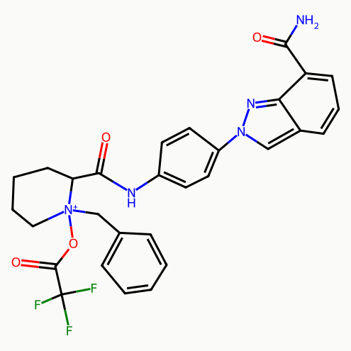 NC(=O)c1cccc2cn(-c3ccc(NC(=O)C4CCCC[N+]4(Cc4ccccc4)OC(=O)C(F)(F)F)cc3)nc12